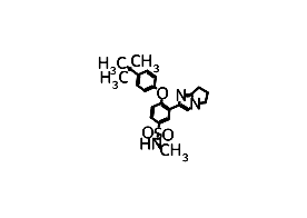 CNS(=O)(=O)c1ccc(Oc2ccc(C(C)(C)C)cc2)c(-c2cn3c(n2)CCC3)c1